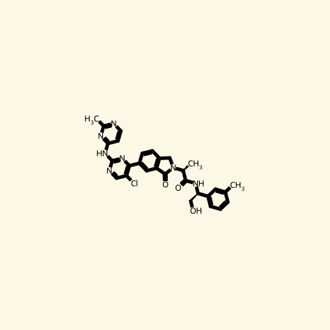 Cc1cccc([C@@H](CO)NC(=O)[C@H](C)N2Cc3ccc(-c4nc(Nc5ccnc(C)n5)ncc4Cl)cc3C2=O)c1